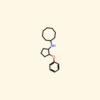 c1ccc(OC2CCCC2NC2CCCCCCC2)cc1